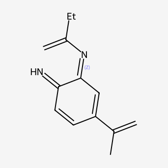 C=C(CC)/N=C1/C=C(C(=C)C)C=CC1=N